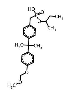 CCC(C)OP(=O)(O)Cc1ccc(C(C)(C)c2ccc(OCOC)cc2)cc1